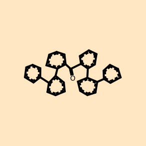 O=C(c1ccccc1-c1ccccc1-c1ccccc1)c1ccccc1-c1ccccc1-c1ccccc1